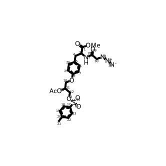 COC(=O)C(Cc1ccc(OCC(COS(=O)(=O)c2ccc(C)cc2)OC(C)=O)cc1)NC(=O)CN=[N+]=[N-]